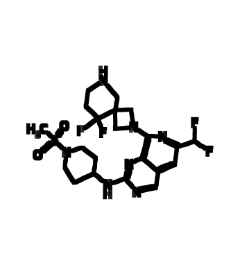 CS(=O)(=O)N1CCC(Nc2ncc3cc(C(F)F)nc(N4CC5(CNCCC5(F)F)C4)c3n2)CC1